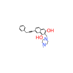 CN1CCN(Cc2c(O)cc3ccc(C#CCc4ccccc4)cc3c2O)CC1